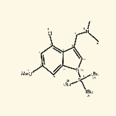 COc1cc(Cl)c2c(CN(C)C)cn([Si](C(C)(C)C)(C(C)(C)C)C(C)(C)C)c2c1